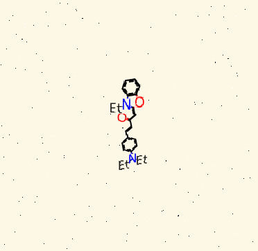 CCN(CC)c1ccc(C=CC(=O)C=C2Oc3ccccc3N2CC)cc1